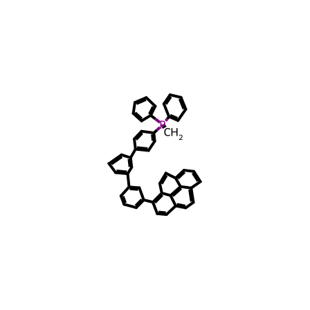 C=P(c1ccccc1)(c1ccccc1)c1ccc(-c2cccc(-c3cccc(-c4ccc5ccc6cccc7ccc4c5c67)c3)c2)cc1